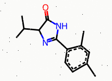 Cc1ccc(C2=NC(C(C)C)C(=O)N2)c(C)c1